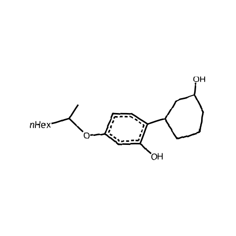 CCCCCCC(C)Oc1ccc(C2CCCC(O)C2)c(O)c1